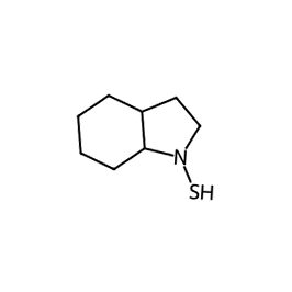 SN1CCC2CCCCC21